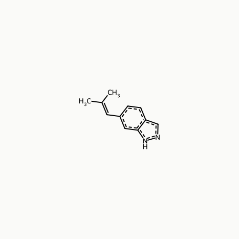 CC(C)=Cc1ccc2cn[nH]c2c1